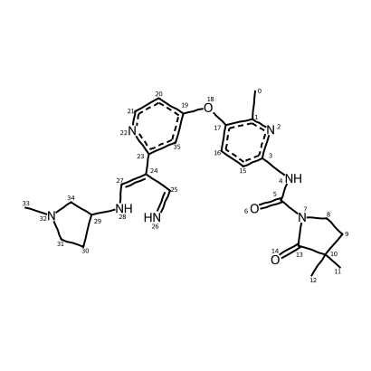 Cc1nc(NC(=O)N2CCC(C)(C)C2=O)ccc1Oc1ccnc(/C(C=N)=C/NC2CCN(C)C2)c1